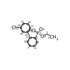 CCOP(=O)(O)c1ccccc1-c1cccc(Cl)c1